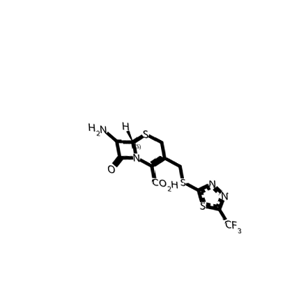 NC1C(=O)N2C(C(=O)O)=C(CSc3nnc(C(F)(F)F)s3)CS[C@@H]12